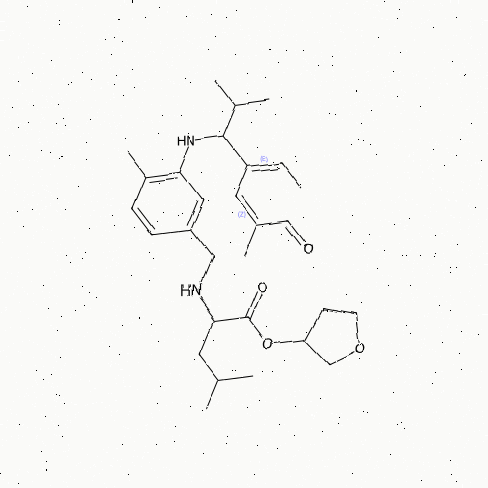 C/C=C(\C=C(\C)C=O)C(Nc1cc(CNC(CC(C)C)C(=O)OC2CCOC2)ccc1C)C(C)C